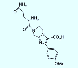 COc1ccc(-c2nc3n(c2C(=O)O)CCN(C(=O)[C@@H](N)CCC(N)=O)C3)cc1